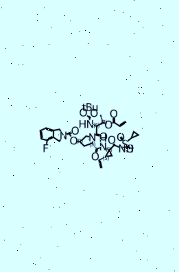 C=CC(=O)O[C@H](C)[C@H](NC(=O)OC(C)(C)C)C(=O)N1C[C@H](OC(=O)N2Cc3cccc(F)c3C2)C[C@H]1C(=O)N[C@]1(C(=O)NS(=O)(=O)C2CC2)C[C@H]1C=C